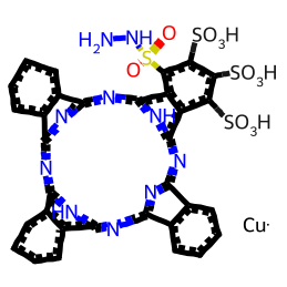 NNS(=O)(=O)c1c(S(=O)(=O)O)c(S(=O)(=O)O)c(S(=O)(=O)O)c2c3nc4nc(nc5[nH]c(nc6nc(nc([nH]3)c12)-c1ccccc1-6)c1ccccc51)-c1ccccc1-4.[Cu]